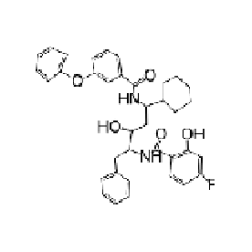 O=C(NC(C[C@H](O)C(Cc1ccccc1)NC(=O)c1ccc(F)cc1O)C1CCCCC1)c1cccc(Oc2ccccc2)c1